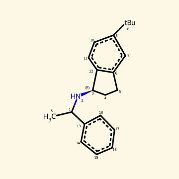 CC(N[C@@H]1CCc2cc(C(C)(C)C)ccc21)c1ccccc1